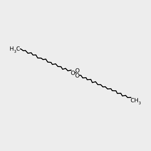 CCCCCCCCCCCCCCCCCCCCCCOC(=O)OCCCCCCCCCCCCCCCCCCCCCC